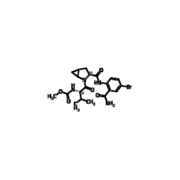 COC(=O)N[C@H](C(=O)N1C2CC2C[C@H]1C(=O)Nc1ccc(Br)cc1C(N)=O)C(C)C